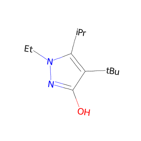 CCn1nc(O)c(C(C)(C)C)c1C(C)C